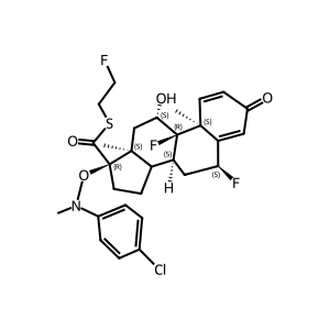 CN(O[C@]1(C(=O)SCCF)CCC2[C@@H]3C[C@H](F)C4=CC(=O)C=C[C@]4(C)[C@@]3(F)[C@@H](O)C[C@@]21C)c1ccc(Cl)cc1